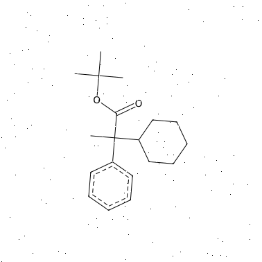 CC(C)(C)OC(=O)C(C)(c1ccccc1)C1CCCCC1